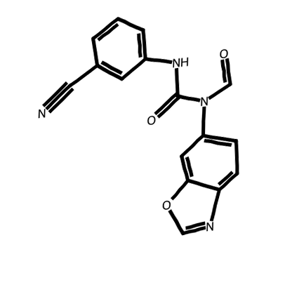 N#Cc1cccc(NC(=O)N(C=O)c2ccc3ncoc3c2)c1